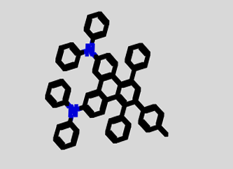 Cc1ccc(-c2cc(-c3ccccc3)c3c4ccc(N(c5ccccc5)c5ccccc5)cc4c4cc(N(c5ccccc5)c5ccccc5)ccc4c3c2-c2ccccc2)cc1